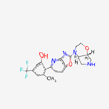 Cc1cc(C(F)(F)F)cc(O)c1-c1ccc2oc(N3CCO[C@@H]4CNC[C@H]43)nc2n1